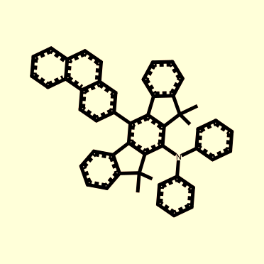 CC1(C)c2ccccc2-c2c(-c3ccc4c(ccc5ccccc54)c3)c3c(c(N(c4ccccc4)c4ccccc4)c21)C(C)(C)c1ccccc1-3